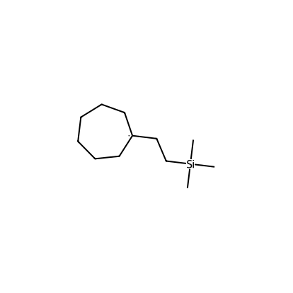 C[Si](C)(C)CC[C]1CCCCCC1